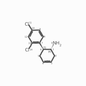 N[C@@H]1CC=CC[C@H]1c1ccc(Cl)cc1Cl